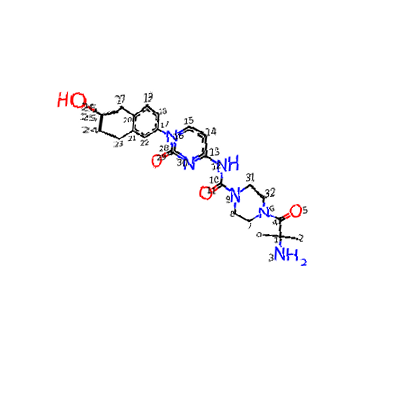 CC(C)(N)C(=O)N1CCN(C(=O)Nc2ccn(-c3ccc4c(c3)CCC(O)C4)c(=O)n2)CC1